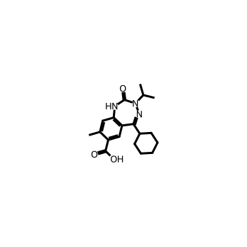 Cc1cc2c(cc1C(=O)O)C(C1CCCCC1)=NN(C(C)C)C(=O)N2